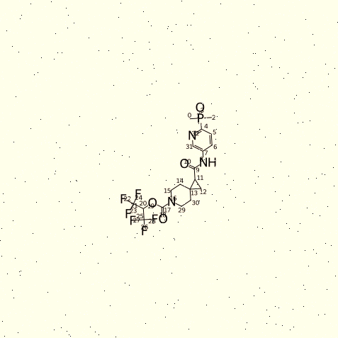 CP(C)(=O)c1ccc(NC(=O)C2CC23CCN(C(=O)OC(C(F)(F)F)C(F)(F)F)CC3)cn1